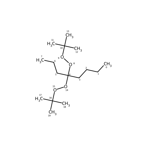 CCCCC(CCC)(OOC(C)(C)C)OOC(C)(C)C